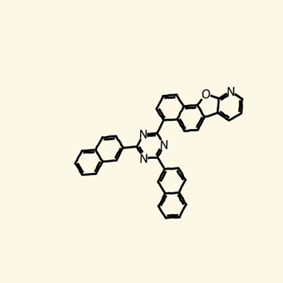 c1ccc2cc(-c3nc(-c4ccc5ccccc5c4)nc(-c4cccc5c4ccc4c6cccnc6oc54)n3)ccc2c1